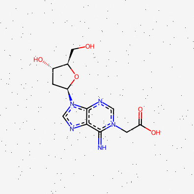 N=c1c2ncn([C@H]3C[C@H](O)[C@@H](CO)O3)c2ncn1CC(=O)O